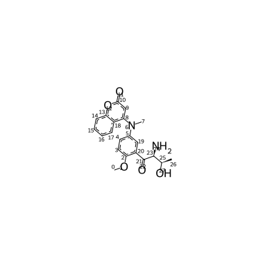 COc1ccc(N(C)c2cc(=O)oc3ccccc23)cc1C(=O)[C@@H](N)[C@@H](C)O